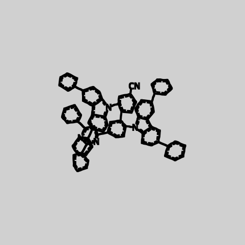 N#Cc1ccc(-c2cc(-c3cc(-c4ccccc4)nc(-c4ccccc4)n3)ccc2-n2c3ccc(-c4ccccc4)cc3c3cc(-c4ccccc4)ccc32)c(-n2c3ccc(-c4ccccc4)cc3c3cc(-c4ccccc4)ccc32)c1